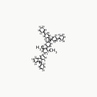 Cc1cc(-c2ccc3c(c2)c2ccccc2n3-c2ccccc2)cc(C)c1-c1ccc(N(c2ccc(-c3ccccc3)cc2)c2ccc(-c3ccccc3)cc2)cc1